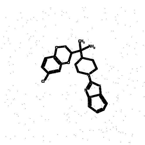 CC(N)(C1CCN(c2nc3ccccc3s2)CC1)C1COc2ccc(Cl)cc2O1